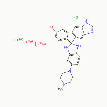 CN1CCN(c2ccc3c(c2)NC(c2ccc(O)cc2)(c2ccc4[nH]cnc4c2)N3)CC1.Cl.Cl.Cl.O.O.O.O.O